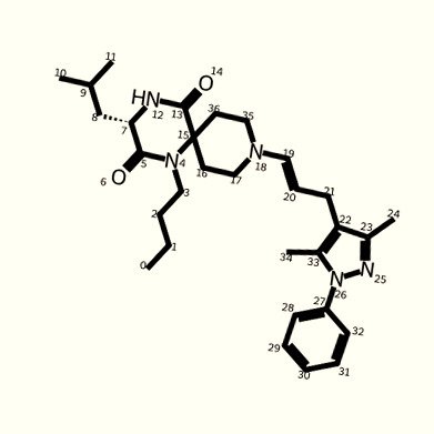 CCCCN1C(=O)[C@H](CC(C)C)NC(=O)C12CCN(/C=C/Cc1c(C)nn(-c3ccccc3)c1C)CC2